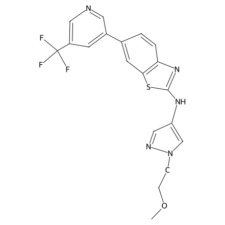 COCCn1cc(Nc2nc3ccc(-c4cncc(C(F)(F)F)c4)cc3s2)cn1